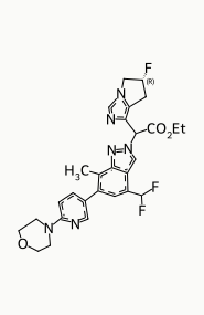 CCOC(=O)C(c1ncn2c1C[C@@H](F)C2)n1cc2c(C(F)F)cc(-c3ccc(N4CCOCC4)nc3)c(C)c2n1